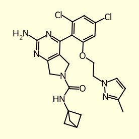 Cc1ccn(CCOc2cc(Cl)cc(Cl)c2-c2nc(N)nc3c2CN(C(=O)NC24CC(C2)C4)C3)n1